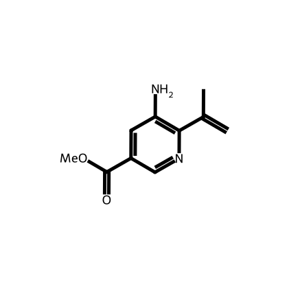 C=C(C)c1ncc(C(=O)OC)cc1N